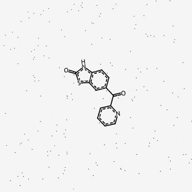 O=C(c1ccc2[nH]c(=O)sc2c1)c1ccccn1